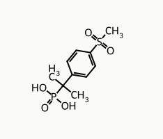 CC(C)(c1ccc(S(C)(=O)=O)cc1)P(=O)(O)O